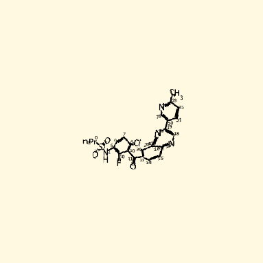 CCCS(=O)(=O)Nc1ccc(Cl)c(C(=O)c2ccc3ncc(-c4ccc(C)nc4)nc3c2)c1F